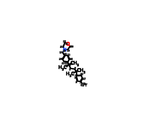 CC(C)c1ccc(C(C)(C)CCC(C)(C)c2ccc(CN3CCOCC3)cc2)cc1